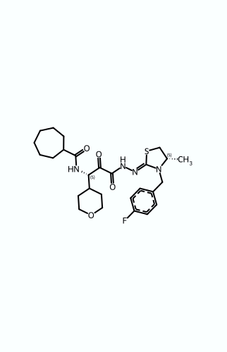 C[C@H]1CSC(=NNC(=O)C(=O)[C@@H](NC(=O)C2CCCCCC2)C2CCOCC2)N1Cc1ccc(F)cc1